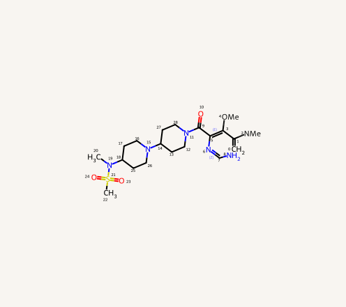 C=C(NC)/C(OC)=C(\N=C/N)C(=O)N1CCC(N2CCC(N(C)S(C)(=O)=O)CC2)CC1